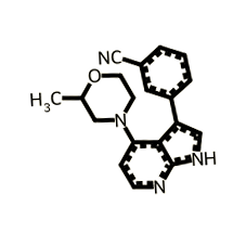 CC1CN(c2ccnc3[nH]cc(-c4cccc(C#N)c4)c23)CCO1